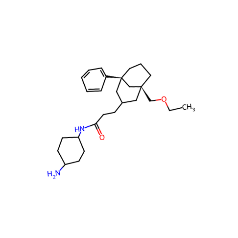 CCOC[C@@]12CCC[C@@](c3ccccc3)(CC(CCC(=O)NC3CCC(N)CC3)C1)C2